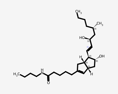 CCCCNC(=O)CCCCC1=C[C@H]2C[C@@H](O)[C@H](/C=C/[C@@H](O)C[C@@H](C)CCCC)[C@H]2C1